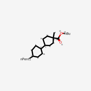 CCCCCC1CCC(C2CCC(C)(C(=O)OCCCC)CC2)CC1